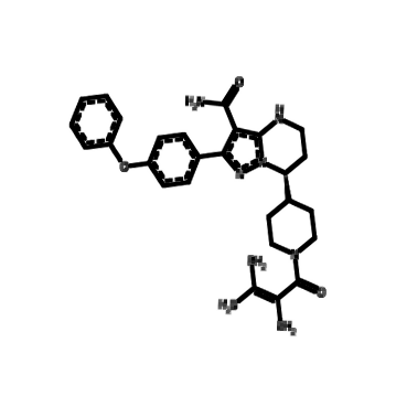 BC(B)=C(B)C(=O)N1CCC([C@@H]2CCNc3c(C(N)=O)c(-c4ccc(Oc5ccccc5)cc4)nn32)CC1